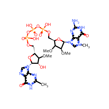 COC1[C@@H](COP(=O)(O)OP(=O)(O)OP(=O)(O)OC[C@H]2O[C@@H](n3c[n+](C)c4c(=O)[nH]c(N)nc43)[C@@H](OC)C2OC)O[C@@H](n2cnc3c(=O)[nH]c(C)nc32)[C@H]1O